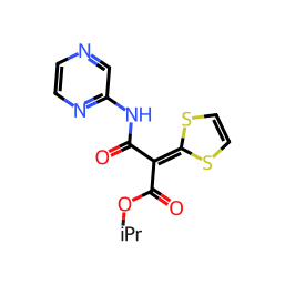 CC(C)OC(=O)C(C(=O)Nc1cnccn1)=C1SC=CS1